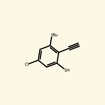 C#Cc1c(S)cc(Cl)cc1C(C)(C)C